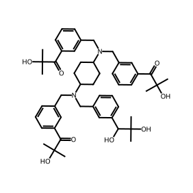 CC(C)(O)C(=O)c1cccc(CN(Cc2cccc(C(=O)C(C)(C)O)c2)C2CCC(N(Cc3cccc(C(=O)C(C)(C)O)c3)Cc3cccc(C(O)C(C)(C)O)c3)CC2)c1